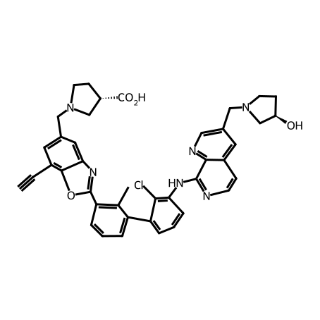 C#Cc1cc(CN2CC[C@H](C(=O)O)C2)cc2nc(-c3cccc(-c4cccc(Nc5nccc6cc(CN7CC[C@@H](O)C7)cnc56)c4Cl)c3C)oc12